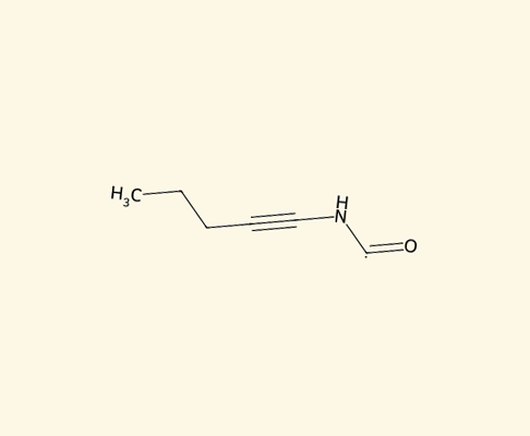 CCCC#CN[C]=O